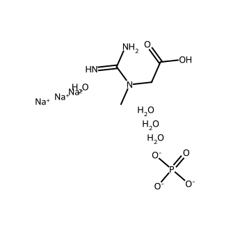 CN(CC(=O)O)C(=N)N.O.O.O.O.O=P([O-])([O-])[O-].[Na+].[Na+].[Na+]